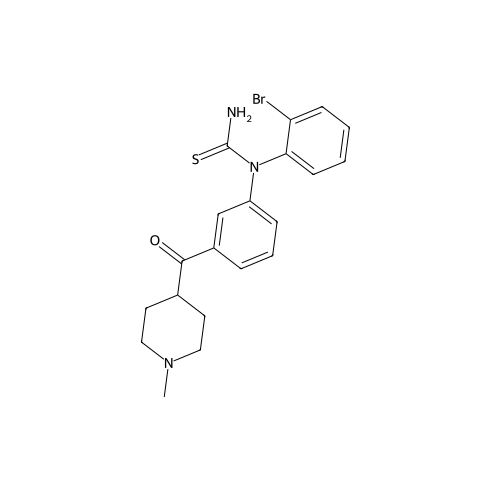 CN1CCC(C(=O)c2cccc(N(C(N)=S)c3ccccc3Br)c2)CC1